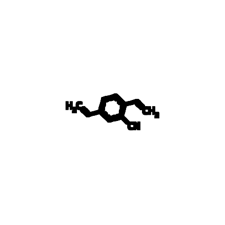 C=Cc1ccc(C=C)c(C#N)c1